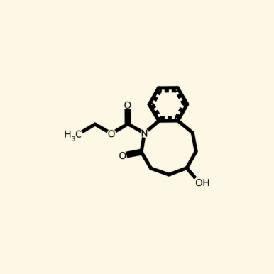 CCOC(=O)N1C(=O)CCC(O)CCc2ccccc21